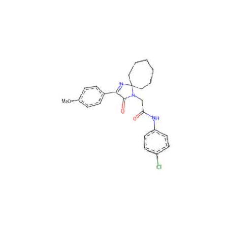 COc1ccc(C2=NC3(CCCCCC3)N(CC(=O)Nc3ccc(Cl)cc3)C2=O)cc1